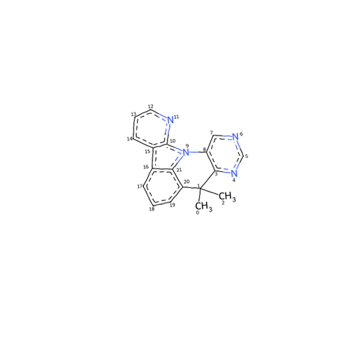 CC1(C)c2ncncc2-n2c3ncccc3c3cccc1c32